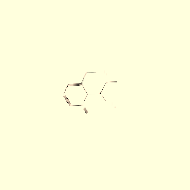 C=[N+]1C=CC=C(CC)C1C(C)CC